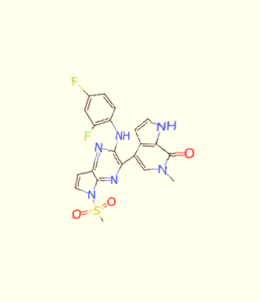 Cn1cc(-c2nc3c(ccn3S(C)(=O)=O)nc2Nc2ccc(F)cc2F)c2cc[nH]c2c1=O